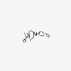 CC(=O)N1CCN(c2ccc(C=O)cc2)CC1C